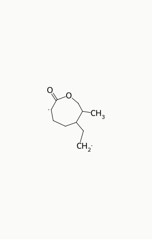 [CH2]CC1CC[CH]C(=O)OCC1C